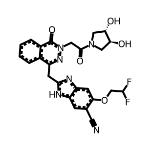 N#Cc1cc2[nH]c(Cc3nn(CC(=O)N4C[C@H](O)[C@@H](O)C4)c(=O)c4ccccc34)nc2cc1OCC(F)F